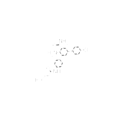 CCCC(=O)Nc1ccc(-c2cc(-c3ccc(Cl)cc3)cc(C(N)=O)c2N)cc1